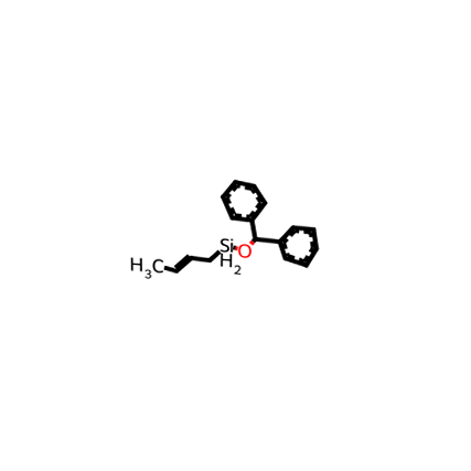 CC=CC[SiH2]OC(c1ccccc1)c1ccccc1